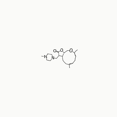 CC1=CCCC(C)OCC2OC(=O)C(CN3CCN(C)CC3)C2CC1